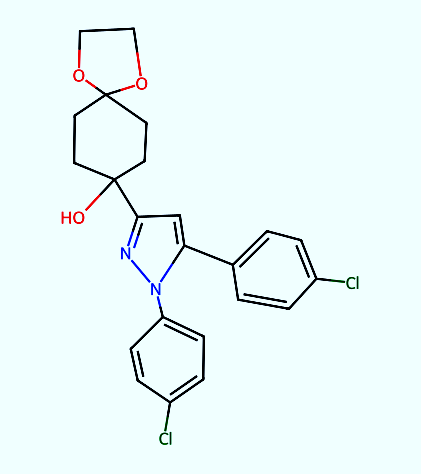 OC1(c2cc(-c3ccc(Cl)cc3)n(-c3ccc(Cl)cc3)n2)CCC2(CC1)OCCO2